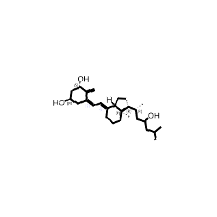 C=C1/C(=C\C=C2/CCC[C@]3(C)[C@@H]([C@H](C)CC(O)CC(C)C)CC[C@@H]23)C[C@@H](O)C[C@@H]1O